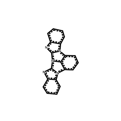 c1ccc2c(c1)nc1n2c2cccc3c2n1c1nc2ccccc2n31